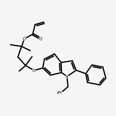 C=CC(=O)OC(C)(C)CC(C)(C)Oc1ccc2cc(-c3ccccc3)n(CC(C)C)c2c1